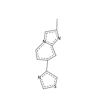 Cc1cn2ccc(-c3cscn3)cc2n1